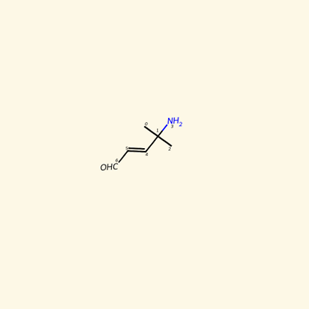 CC(C)(N)C=CC=O